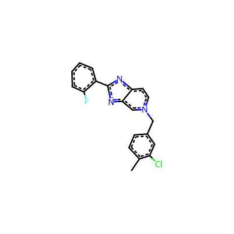 Cc1ccc(Cn2ccc3nc(-c4ccccc4F)nc-3c2)cc1Cl